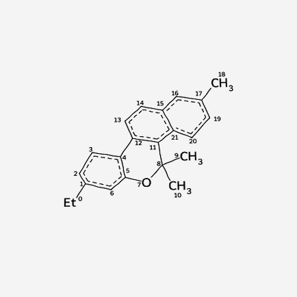 CCc1ccc2c(c1)OC(C)(C)c1c-2ccc2cc(C)ccc12